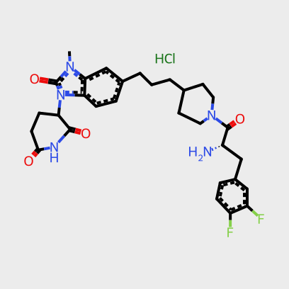 Cl.Cn1c(=O)n(C2CCC(=O)NC2=O)c2ccc(CCCC3CCN(C(=O)[C@@H](N)Cc4ccc(F)c(F)c4)CC3)cc21